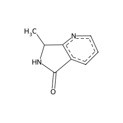 CC1NC(=O)c2cccnc21